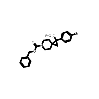 CCOC(=O)C1(c2ccc(Br)cc2)CC12CCN(C(=O)OCc1ccccc1)CC2